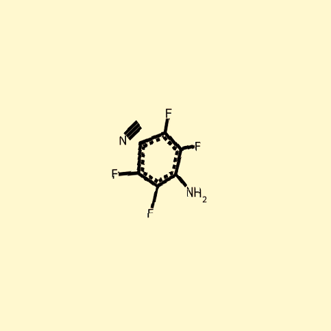 C#N.Nc1c(F)c(F)cc(F)c1F